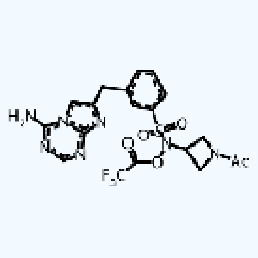 CC(=O)N1CC(N(OC(=O)C(F)(F)F)S(=O)(=O)c2cccc(Cc3cn4c(N)ncnc4n3)c2)C1